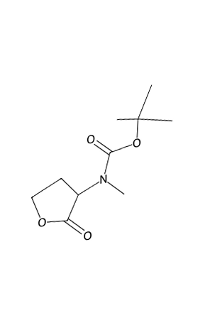 CN(C(=O)OC(C)(C)C)C1CCOC1=O